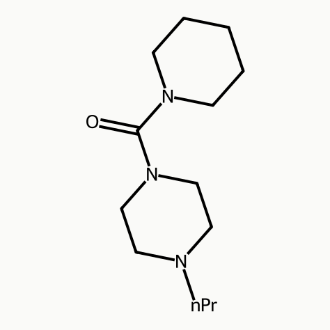 CCCN1CCN(C(=O)N2CCCCC2)CC1